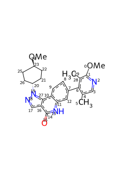 COc1ncc(C)c(-c2ccc3c(c2)[nH]c(=O)c2cnn([C@H]4CC[C@H](OC)CC4)c23)c1C